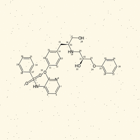 O=S(=O)(Nc1cccnc1Oc1ccc(C[C@@H](CO)NC[C@H](O)COc2ccccc2)cc1)c1ccccc1